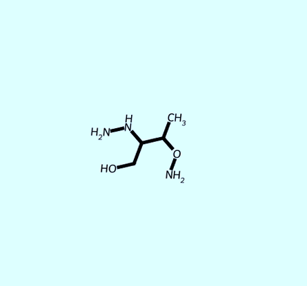 CC(ON)C(CO)NN